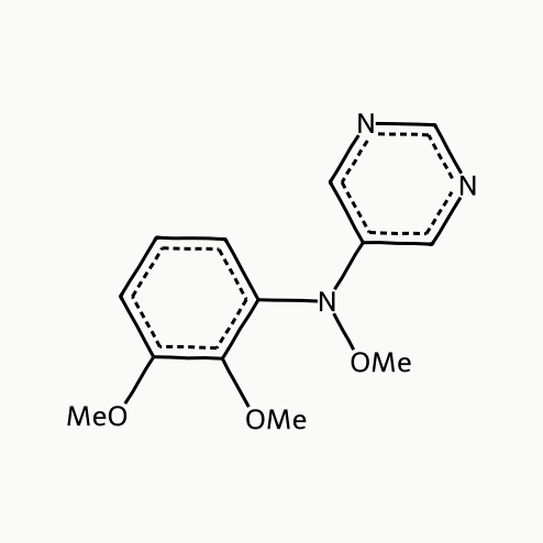 COc1cccc(N(OC)c2cncnc2)c1OC